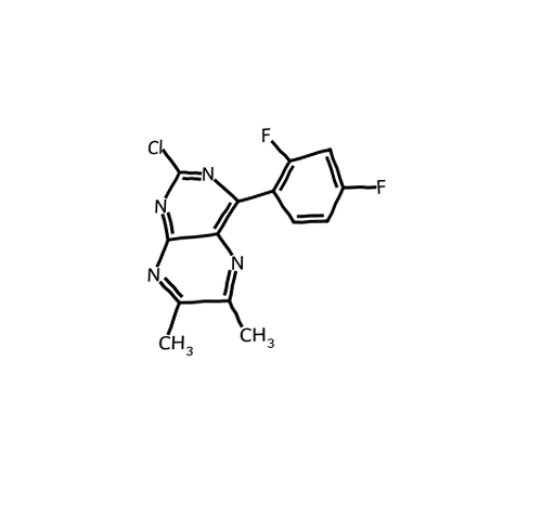 Cc1nc2nc(Cl)nc(-c3ccc(F)cc3F)c2nc1C